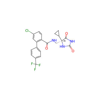 O=C1NC(=O)[C@](CNC(=O)c2ccc(Cl)cc2-c2ccc(C(F)(F)F)cc2)(C2CC2)N1